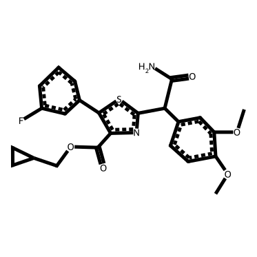 COc1ccc(C(C(N)=O)c2nc(C(=O)OCC3CC3)c(-c3cccc(F)c3)s2)cc1OC